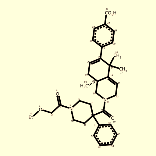 CCOCC(=O)N1CCC(C(=O)N2CC=C3C(C)(C)C(c4ccc(C(=O)O)cc4)=CC[C@]3(C)C2)(c2ccccc2)CC1